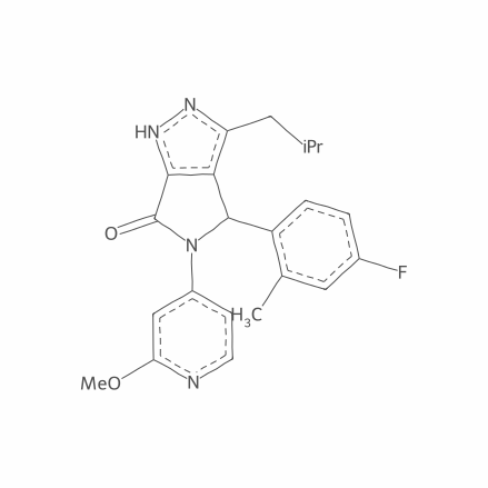 COc1cc(N2C(=O)c3[nH]nc(CC(C)C)c3C2c2ccc(F)cc2C)ccn1